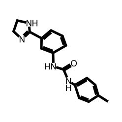 Cc1ccc(NC(=O)Nc2cccc(C3=NCCN3)c2)cc1